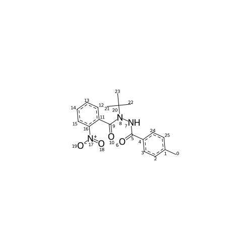 Cc1ccc(C(=O)NN(C(=O)c2ccccc2[N+](=O)[O-])C(C)(C)C)cc1